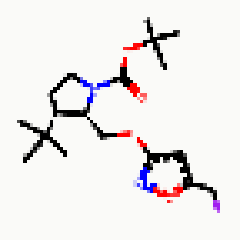 CC(C)(C)OC(=O)N1CC[C@H](C(C)(C)C)[C@@H]1COc1cc(CI)on1